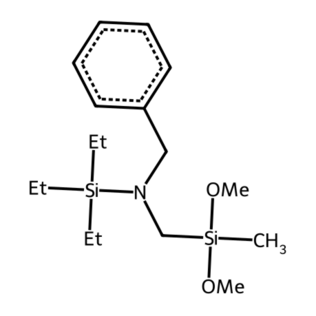 CC[Si](CC)(CC)N(Cc1ccccc1)C[Si](C)(OC)OC